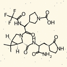 CC1(C)[C@@H]2[C@@H](C(=O)NC(C[C@@H]3CCNC3=O)C(N)=O)N(C(=O)C(NC(=O)C(F)(F)F)[C@H]3CCN(C(=O)O)C3)C[C@@H]21